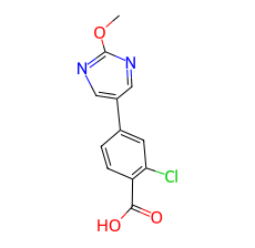 COc1ncc(-c2ccc(C(=O)O)c(Cl)c2)cn1